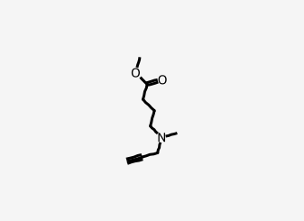 C#CCN(C)CCCC(=O)OC